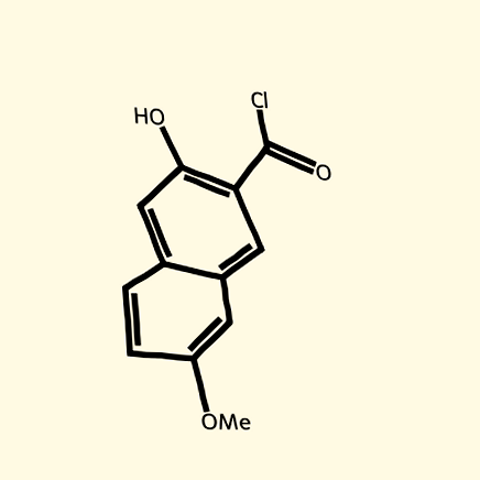 COc1ccc2cc(O)c(C(=O)Cl)cc2c1